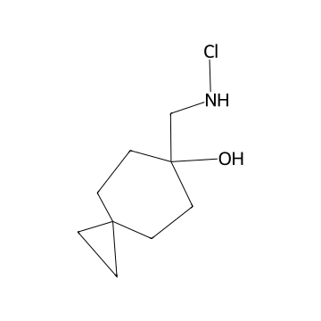 OC1(CNCl)CCC2(CC1)CC2